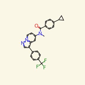 CN(C(=O)c1ccc(C2CC2)cc1)c1ccn2ncc(-c3ccc(C(F)(F)F)cc3)c2c1